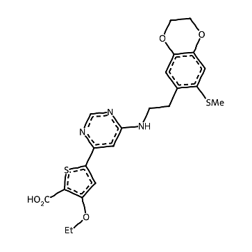 CCOc1cc(-c2cc(NCCc3cc4c(cc3SC)OCCO4)ncn2)sc1C(=O)O